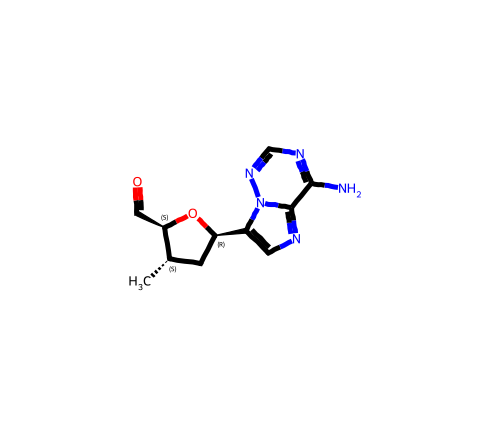 C[C@H]1C[C@H](c2cnc3c(N)ncnn23)O[C@@H]1C=O